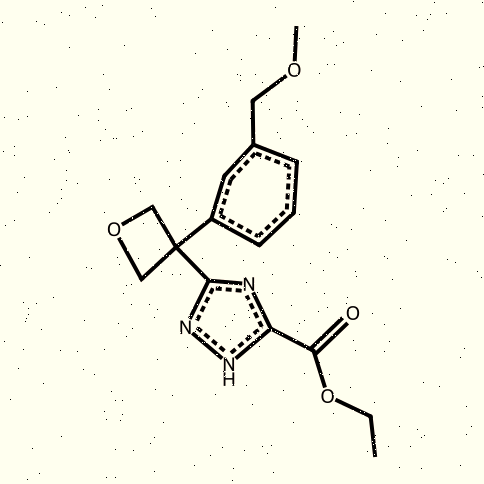 CCOC(=O)c1nc(C2(c3cccc(COC)c3)COC2)n[nH]1